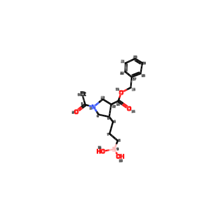 CCC(=O)N1CC(CCCB(O)O)C(C(=O)OCc2ccccc2)C1